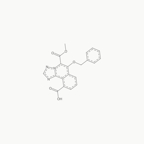 COC(=O)c1c(OCc2ccccc2)c2cccc(C(=O)O)c2c2ncnn12